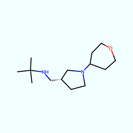 CC(C)(C)NC[C@H]1CCN(C2CCOCC2)C1